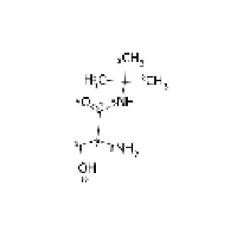 CC(C)(C)NC(=O)C(N)CO